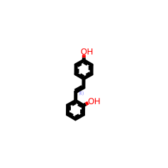 Oc1ccc(/C=C/c2ccccc2O)cc1